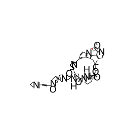 CO[C@@H](C)c1ncccc1-c1c2c3cc(ccc3n1C)-c1csc(n1)C[C@H](NC(=O)CN1CC[C@@]3(CCN(C(=O)C#CC(C)(C)N4CCC4)C3)C1)C(=O)N1CCC[C@H](N1)C(=O)OCC(C)(C)C2